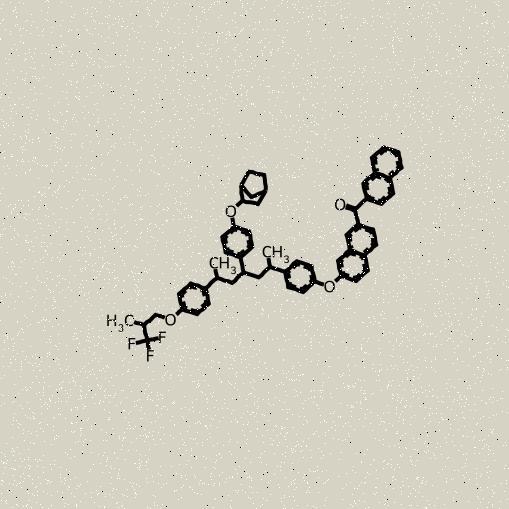 CC(CC(CC(C)c1ccc(Oc2ccc3ccc(C(=O)c4ccc5ccccc5c4)cc3c2)cc1)c1ccc(OC2CC3CCC2C3)cc1)c1ccc(OCC(C)C(F)(F)F)cc1